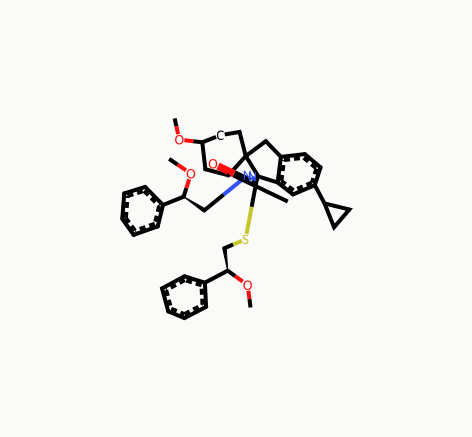 COC1CCC2(CC1)Cc1ccc(C3CC3)cc1C21N=C(SC[C@@H](OC)c2ccccc2)N(C[C@H](OC)c2ccccc2)C1=O